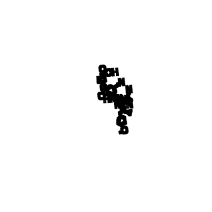 COc1ccc(CN(c2nc(Nc3cc(C#N)cc(OC4CCN(C(=O)O)C4)c3Cl)nn3c(C#N)cnc23)C2CC2)cc1